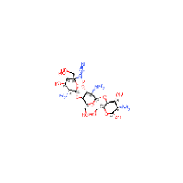 [N-]=[N+]=N[C@]1(CO)O[C@H](OC2[C@@H](CO)O[C@@H](OC3[C@@H](CO)O[C@@H](O)[C@H](N)[C@H]3O)[C@H](N)[C@H]2O)[C@H](N)[C@@H](O)[C@@H]1O